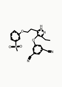 CCc1n[nH]c(CCOc2cccc(S(C)(=O)=O)c2)c1Oc1cc(C#N)cc(C#N)c1